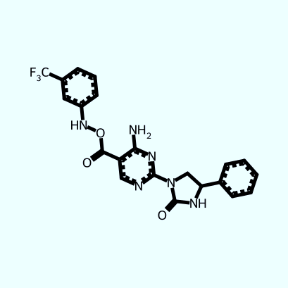 Nc1nc(N2CC(c3ccccc3)NC2=O)ncc1C(=O)ONc1cccc(C(F)(F)F)c1